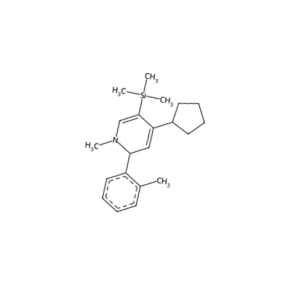 Cc1ccccc1C1C=C(C2CCCC2)C([Si](C)(C)C)=CN1C